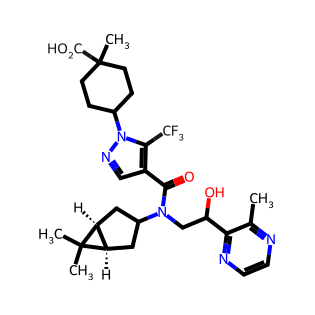 Cc1nccnc1C(O)CN(C(=O)c1cnn(C2CCC(C)(C(=O)O)CC2)c1C(F)(F)F)C1C[C@@H]2[C@H](C1)C2(C)C